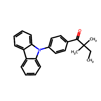 CCC(C)(C)C(=O)c1ccc(-n2c3ccccc3c3ccccc32)cc1